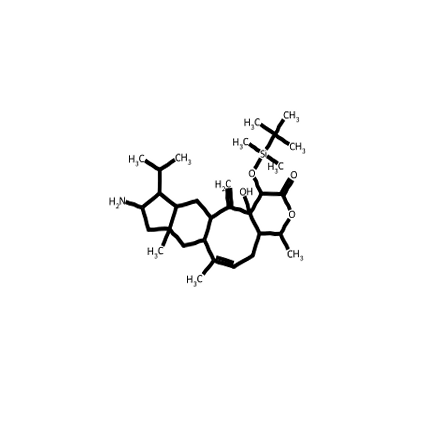 C=C1C2CC3C(C(C)C)C(N)CC3(C)CC2/C(C)=C\CC2C(C)OC(=O)C(O[Si](C)(C)C(C)(C)C)C12O